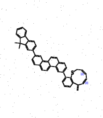 C=C1/C=C\C=C/CSc2c1cccc2-c1ccc2ccc3c4cc(-c5ccc6c(c5)C(C)(C)c5ccccc5-6)ccc4ccc3c2c1